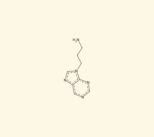 NCCCn1cnc2cncnc21